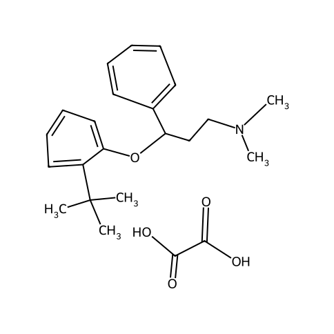 CN(C)CCC(Oc1ccccc1C(C)(C)C)c1ccccc1.O=C(O)C(=O)O